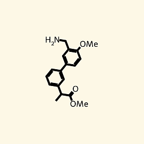 COC(=O)C(C)c1cccc(-c2ccc(OC)c(CN)c2)c1